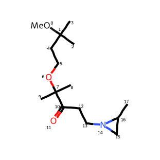 COC(C)(C)CCOC(C)(C)C(=O)CCN1CC1C